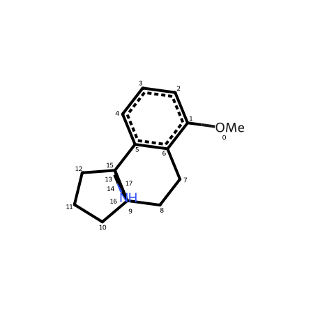 COc1cccc2c1CCC13CCCC21CCNC3